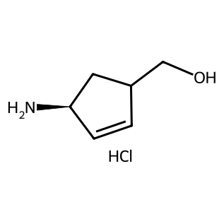 Cl.N[C@@H]1C=CC(CO)C1